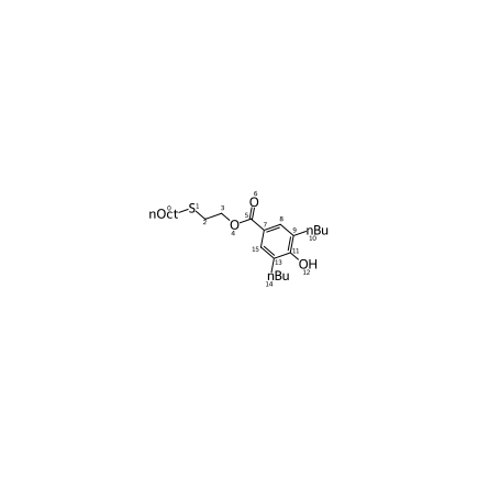 CCCCCCCCSCCOC(=O)c1cc(CCCC)c(O)c(CCCC)c1